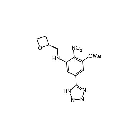 COc1cc(-c2nnn[nH]2)cc(NC[C@@H]2CCO2)c1[N+](=O)[O-]